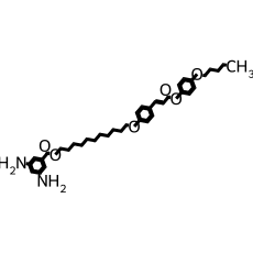 CCCCCOc1ccc(OC(=O)C=Cc2ccc(OCCCCCCCCCCCOC(=O)c3cc(N)cc(N)c3)cc2)cc1